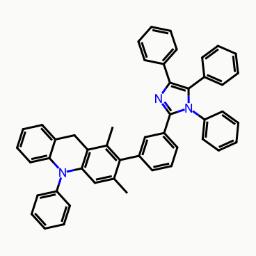 Cc1cc2c(c(C)c1-c1cccc(-c3nc(-c4ccccc4)c(-c4ccccc4)n3-c3ccccc3)c1)Cc1ccccc1N2c1ccccc1